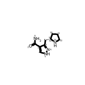 NC(=O)c1c[nH]nc1C[C@@H]1CCCN1